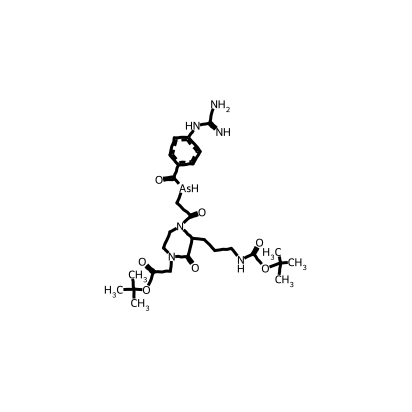 CC(C)(C)OC(=O)CN1CCN(C(=O)C[AsH]C(=O)c2ccc(NC(=N)N)cc2)C(CCCNC(=O)OC(C)(C)C)C1=O